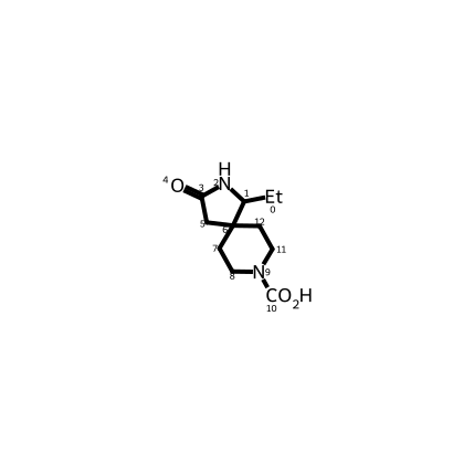 CCC1NC(=O)CC12CCN(C(=O)O)CC2